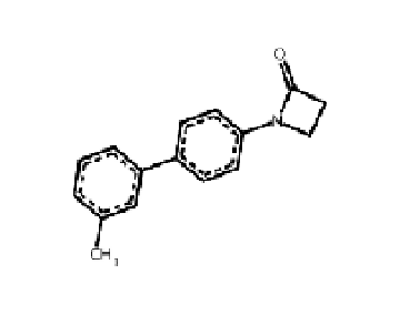 Cc1cccc(-c2ccc(N3CCC3=O)cc2)c1